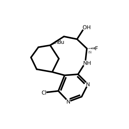 CCCCC12CCCC(C1)c1c(Cl)ncnc1N[C@@H](F)C(O)C2